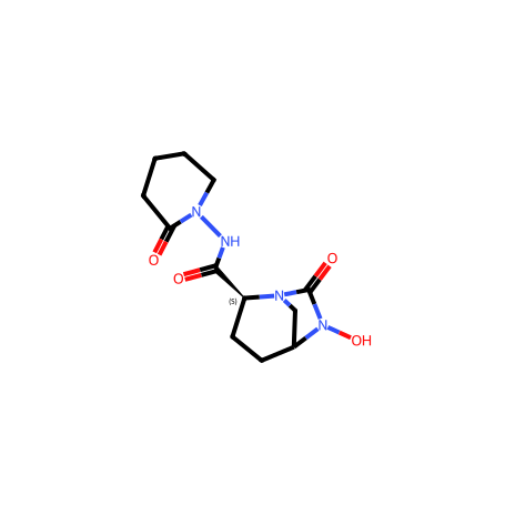 O=C(NN1CCCCC1=O)[C@@H]1CCC2CN1C(=O)N2O